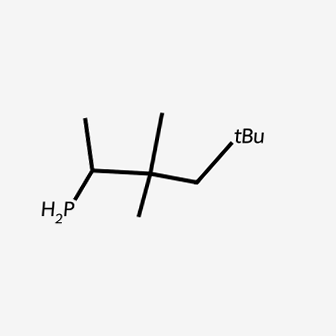 CC(P)C(C)(C)CC(C)(C)C